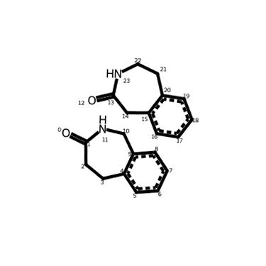 O=C1CCc2ccccc2CN1.O=C1Cc2ccccc2CCN1